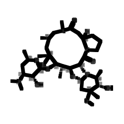 CO[C@]1(C)C[C@H](O[C@H]2[C@H](C)[C@@H](O[C@@H]3O[C@H](C)C[C@H](N(C)C)[C@H]3O)[C@](C)(O)C[C@@H](C)CN(C)C(=O)C[C@@H]3CCCN3C(=O)[C@@H]2C)O[C@@H](C)[C@@H]1O